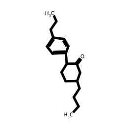 CCCCC1CCC(c2ccc(CCC)cc2)C(=O)C1